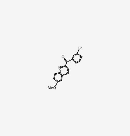 COc1ccc2nc(C(=O)c3cccc(Br)c3)ccc2c1